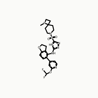 CN1CCC12CCN(S(=O)(=O)c1nnc(Nc3c(-c4ccnc(OC(F)F)c4)ccc4c3CCO4)[nH]1)CC2